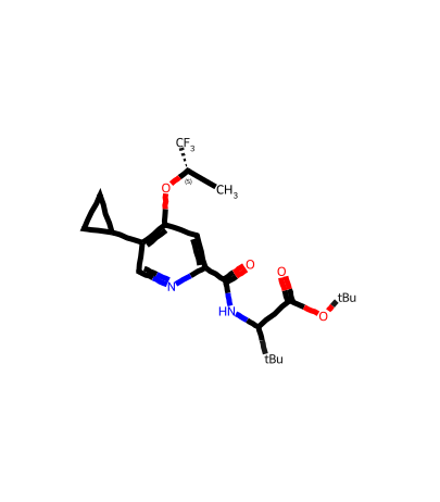 C[C@H](Oc1cc(C(=O)NC(C(=O)OC(C)(C)C)C(C)(C)C)ncc1C1CC1)C(F)(F)F